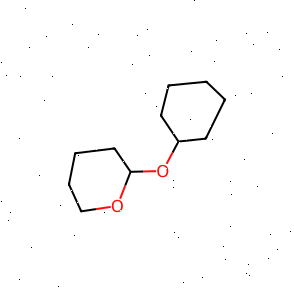 C1CCC(OC2CCCCO2)CC1